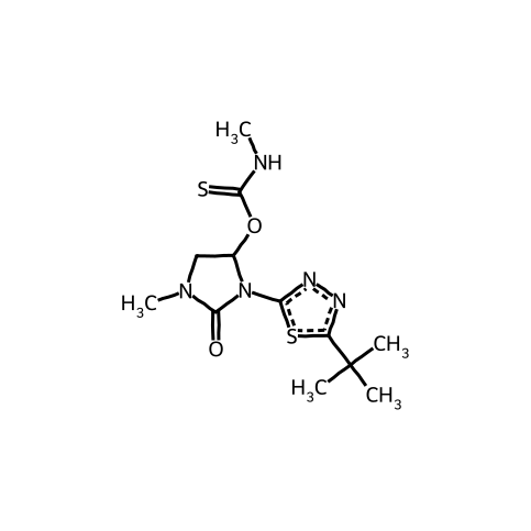 CNC(=S)OC1CN(C)C(=O)N1c1nnc(C(C)(C)C)s1